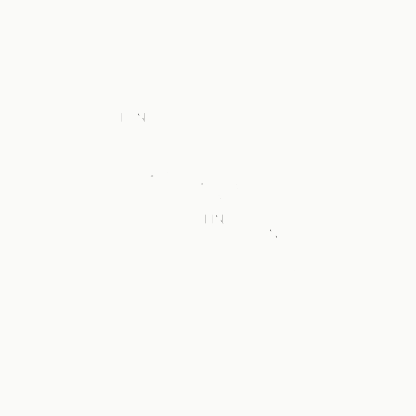 NC1CC2CC3CC(C(=O)Nc4cnc5ccccc5c4)(C2)CC3C1